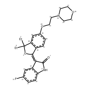 CCC1(CC)O/C(=C2/C(=O)Nc3ccc(F)cc32)c2ccc(OCCN3CCOCC3)cc21